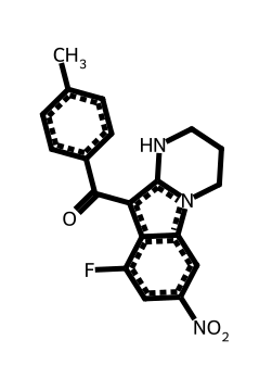 Cc1ccc(C(=O)c2c3n(c4cc([N+](=O)[O-])cc(F)c24)CCCN3)cc1